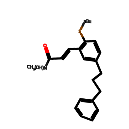 CCCCSc1ccc(CCCc2ccccc2)cc1C=CC(=O)N(C)O